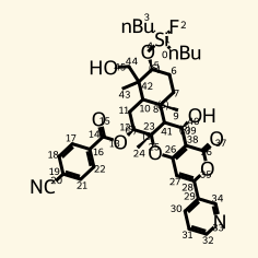 CCCC[Si](F)(CCCC)O[C@H]1CC[C@@]2(C)C(C[C@H](OC(=O)c3ccc(C#N)cc3)[C@@]3(C)Oc4cc(-c5cccnc5)oc(=O)c4[C@H](O)C23)C1(C)CO